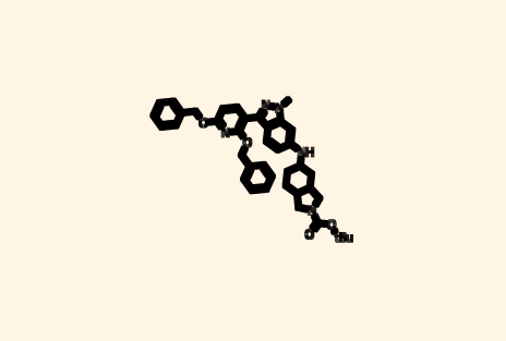 Cn1nc(-c2ccc(OCc3ccccc3)nc2OCc2ccccc2)c2ccc(NC3CCC4CN(C(=O)OC(C)(C)C)CC4C3)cc21